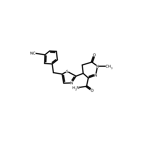 CN1N=C(C(N)=O)C(c2ncc(Cc3cccc(C#N)c3)s2)CC1=O